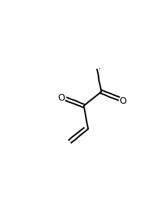 [CH2]C(=O)C(=O)C=C